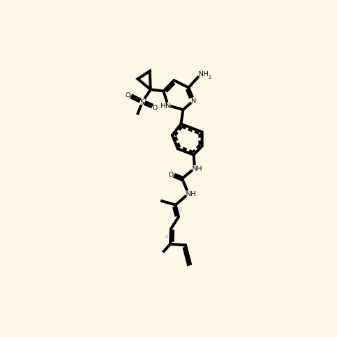 C=C/C(C)=C\C=C(/C)NC(=O)Nc1ccc(C2N=C(N)C=C(C3(S(C)(=O)=O)CC3)N2)cc1